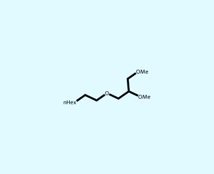 CCCCCCCCOCC(COC)OC